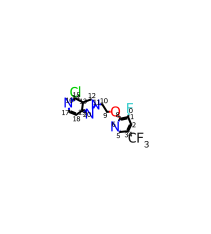 Fc1cc(C(F)(F)F)cnc1OCCN1CC2C(Cl)=NC=CC2=N1